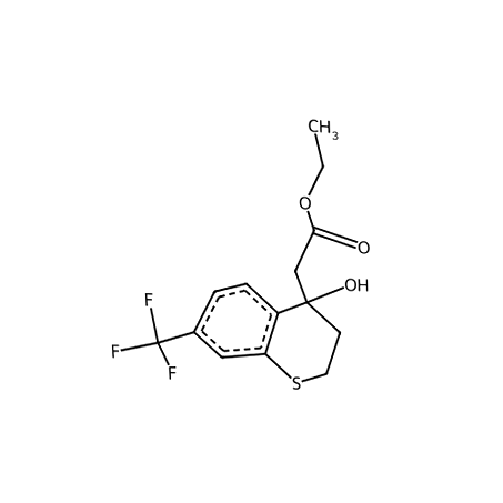 CCOC(=O)CC1(O)CCSc2cc(C(F)(F)F)ccc21